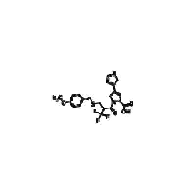 COc1ccc(CSCC(C(=O)N2CC(c3ccsc3)=CC2C(=O)O)C(F)(F)F)cc1